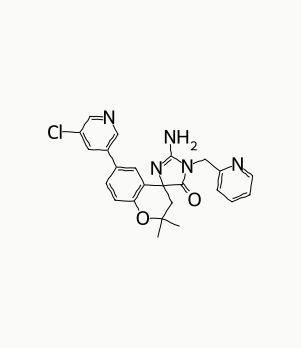 CC1(C)CC2(N=C(N)N(Cc3ccccn3)C2=O)c2cc(-c3cncc(Cl)c3)ccc2O1